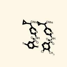 COC(c1ccc(NS(=O)(=O)c2cc(F)ccc2F)nc1)C1CC1.COC(c1ccc(NS(=O)(=O)c2ccc(Cl)c(C)c2)nc1)C1CC1